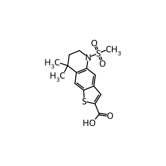 CC1(C)CCN(S(C)(=O)=O)c2cc3cc(C(=O)O)sc3cc21